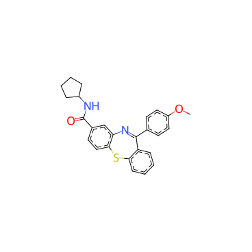 COc1ccc(C2=Nc3cc(C(=O)NC4CCCC4)ccc3Sc3ccccc32)cc1